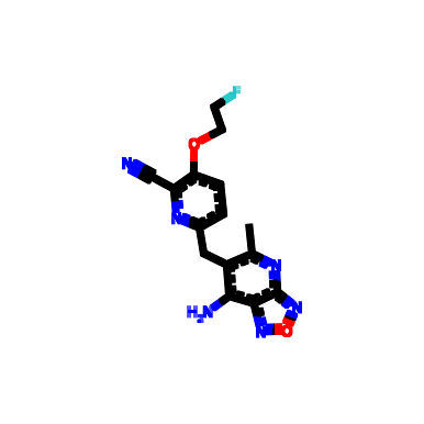 Cc1nc2nonc2c(N)c1Cc1ccc(OCCF)c(C#N)n1